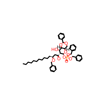 CCCCCCCCCCC[C@@H](CC(=O)[C@H]1[C@@H](OP(=O)(OCc2ccccc2)OCc2ccccc2)O[C@@H]2COC(c3ccccc3)O[C@H]2[C@@H]1O)OCc1ccccc1